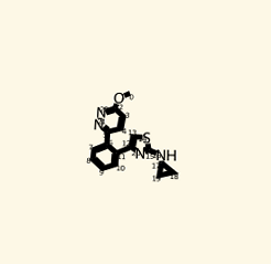 COc1ccc(-c2ccccc2-c2csc(NC3CC3)n2)nn1